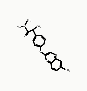 Cc1ccc2nc(OC3=CC=C(C(C)C(=O)N(C)C)C=CC3)cnc2c1